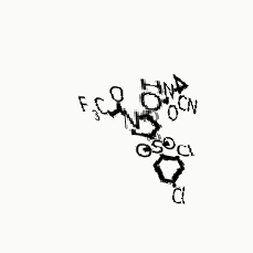 N#CC1(NC(=O)O[C@H]2C[C@@H](S(=O)(=O)c3ccc(Cl)cc3Cl)CN2C(=O)CC(F)(F)F)CC1